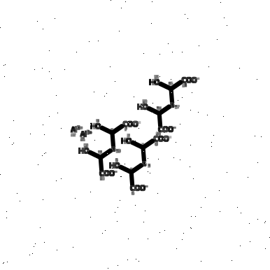 O=C([O-])C(O)SC(O)C(=O)[O-].O=C([O-])C(O)SC(O)C(=O)[O-].O=C([O-])C(O)SC(O)C(=O)[O-].[Al+3].[Al+3]